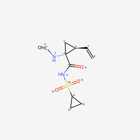 C=C[C@@H]1C[C@]1(NC=O)C(=O)NS(=O)(=O)C1CC1